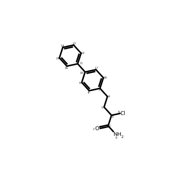 NC(=O)C(Cl)CCc1ccc(-c2ccccc2)cc1